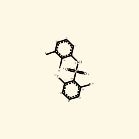 Cc1cccc(NS(=O)(=O)c2c(F)cccc2F)c1F